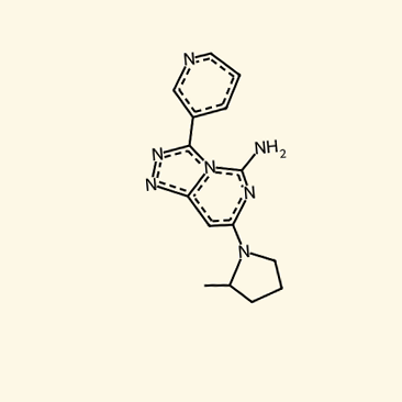 CC1CCCN1c1cc2nnc(-c3cccnc3)n2c(N)n1